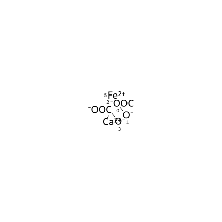 O=C([O-])[O-].O=C([O-])[O-].[Ca+2].[Fe+2]